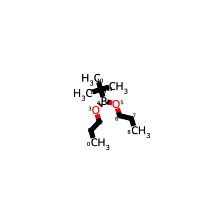 CCCOB(OCCC)C(C)(C)C